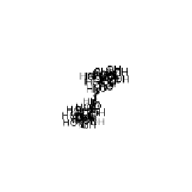 O=C(NCCCNC(=O)[C@H](O)[C@@H](O)[C@H](O[C@@H]1O[C@H](CO)[C@H](O)[C@H](O)[C@H]1O)[C@H](O)CO)[C@H](O)[C@@H](O)[C@H](O[C@@H]1O[C@H](CO)[C@H](O)[C@H](O)[C@H]1O)[C@H](O)CO